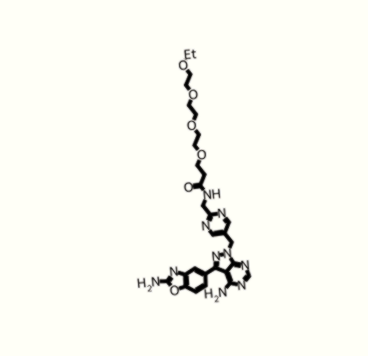 CCOCCOCCOCCOCCC(=O)NCc1ncc(Cn2nc(-c3ccc4oc(N)nc4c3)c3c(N)ncnc32)cn1